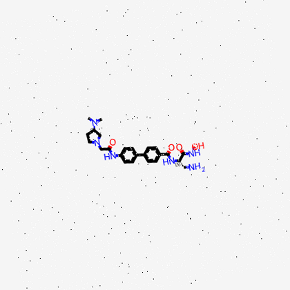 CN(C)[C@@H]1CCN(CC(=O)Nc2ccc(-c3ccc(C(=O)N[C@@H](CN)C(=O)NO)cc3)cc2)C1